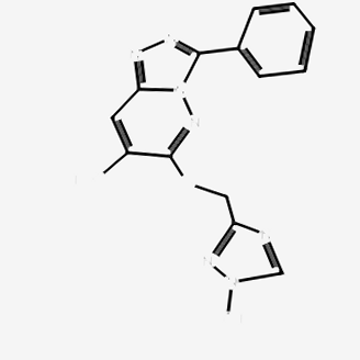 Cc1cc2nnc(-c3ccccc3)n2nc1OCc1ncn(C)n1